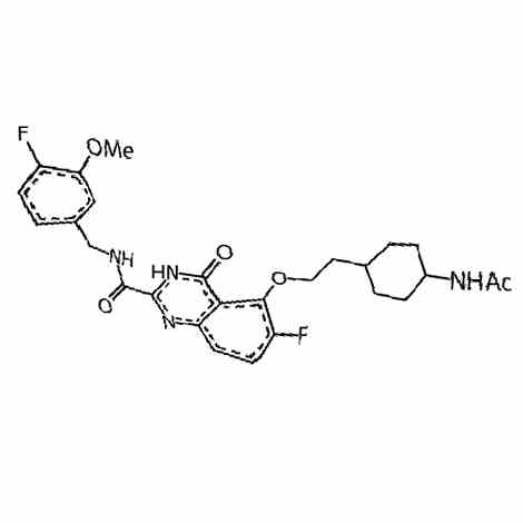 COc1cc(CNC(=O)c2nc3ccc(F)c(OCCC4CCC(NC(C)=O)CC4)c3c(=O)[nH]2)ccc1F